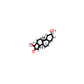 C[C@]12CC[C@H]3[C@@H](CCC4CC[C@H](O)C[C@@]43C)C1=CC(=O)C2=O